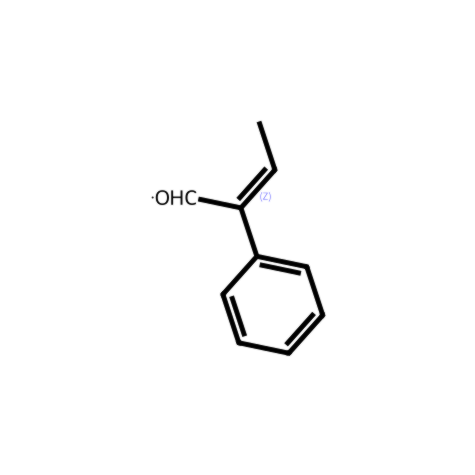 C/C=C(\[C]=O)c1ccccc1